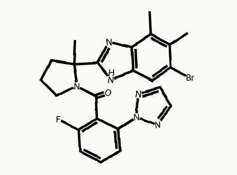 Cc1c(Br)cc2[nH]c(C3(C)CCCN3C(=O)c3c(F)cccc3-n3nccn3)nc2c1C